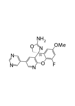 COc1cc(F)c2c(c1)[C@@]1(COC(N)=N1)c1cc(-c3cncnc3)cnc1O2